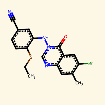 CCSc1ccc(C#N)cc1Nn1cnc2cc(C)c(Br)cc2c1=O